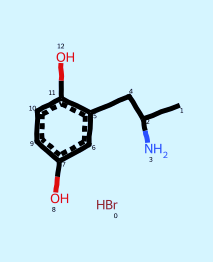 Br.CC(N)Cc1cc(O)ccc1O